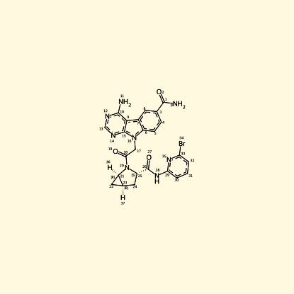 NC(=O)c1ccc2c(c1)c1c(N)ncnc1n2CC(=O)N1[C@@H]2C[C@@H]2C[C@H]1C(=O)Nc1cccc(Br)n1